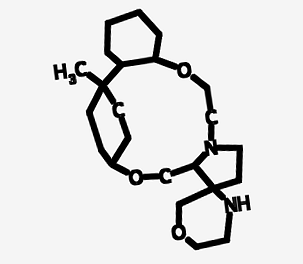 CC12CCC(CC1)OCC1N(CCOC3CCCCC32)CCC12COCCN2